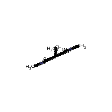 CCCCCC/C=C/COC(=O)CCCCCCCC(CCCCCCCC(=O)OC/C=C/CCCCCC)CCCCN(C)C